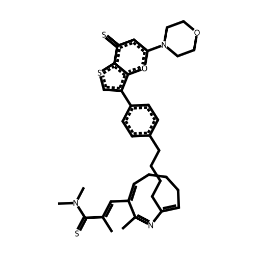 C/C1=N/C(CCCCc2ccc(-c3csc4c(=S)cc(N5CCOCC5)oc34)cc2)=C/CCC/C=C1/C=C(\C)C(=S)N(C)C